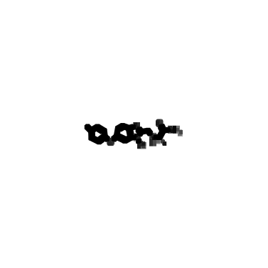 CCn1c(CN[C@@H](C)C(N)=O)nc2ccc(Oc3ccc(C)cc3)cc21